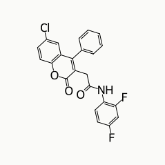 O=C(Cc1c(-c2ccccc2)c2cc(Cl)ccc2oc1=O)Nc1ccc(F)cc1F